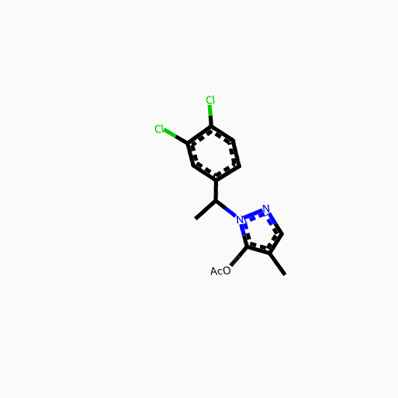 CC(=O)Oc1c(C)cnn1C(C)c1ccc(Cl)c(Cl)c1